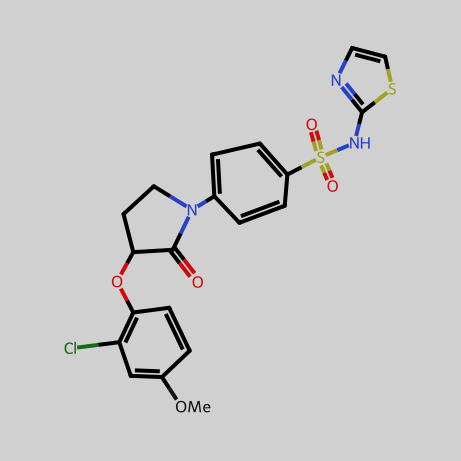 COc1ccc(OC2CCN(c3ccc(S(=O)(=O)Nc4nccs4)cc3)C2=O)c(Cl)c1